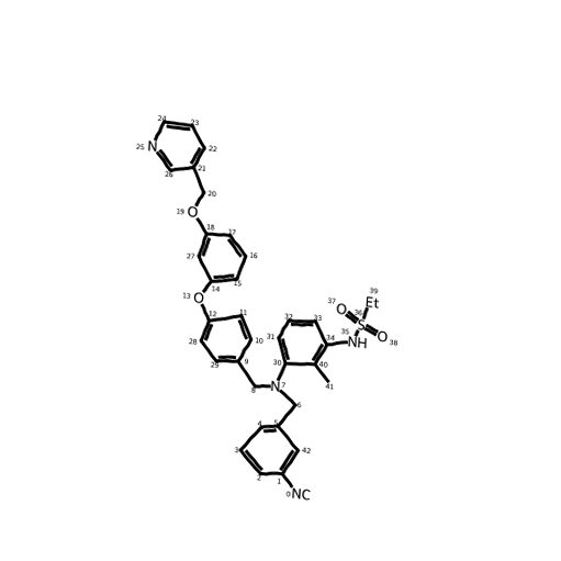 [C-]#[N+]c1cccc(CN(Cc2ccc(Oc3cccc(OCc4cccnc4)c3)cc2)c2cccc(NS(=O)(=O)CC)c2C)c1